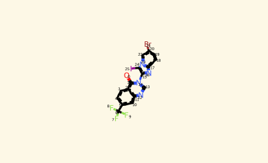 O=c1c2ccc(C(F)(F)F)cc2ncn1-c1nc2ccc(Br)cn2c1I